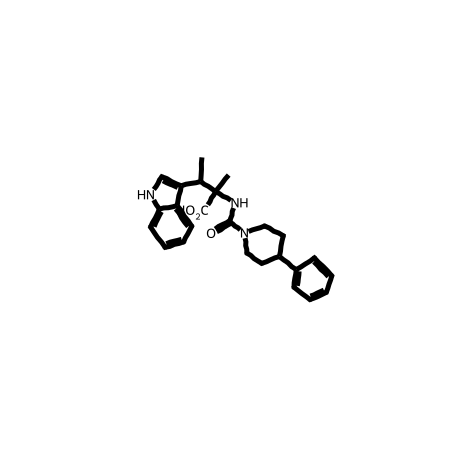 CC(c1c[nH]c2ccccc12)C(C)(NC(=O)N1CCC(c2ccccc2)CC1)C(=O)O